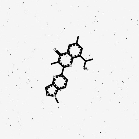 Cc1cc(C(C)N)c2oc(-c3ccc4c(cnn4C)n3)c(C)c(=O)c2c1